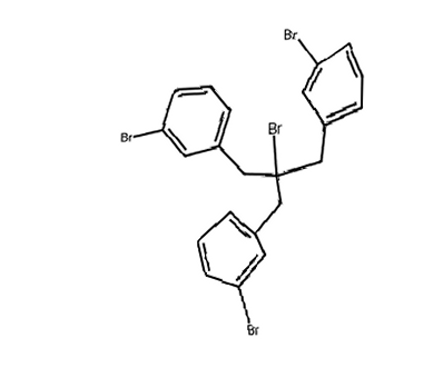 Brc1cccc(CC(Br)(Cc2cccc(Br)c2)Cc2cccc(Br)c2)c1